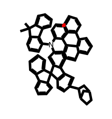 CC1(C)c2ccccc2-c2c(N(c3ccc4c(c3)C3(c5ccccc5-c5ccccc53)c3ccc(C5CC6CCC5C6)cc3-4)c3ccccc3-c3cccc4cccc(-c5ccccc5)c34)cccc21